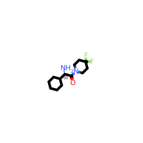 N[C@H](C(=O)N1CCC(F)(F)CC1)C1CCCCC1